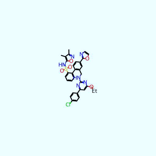 CCOc1cc(-c2ccc(Cl)cc2)nc(NCc2cc(-c3ncco3)ccc2-c2ccccc2S(=O)(=O)Nc2onc(C)c2C)n1